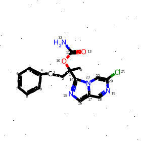 CC(CCc1ccccc1)(OC(N)=O)c1ncc2cnc(Cl)cn12